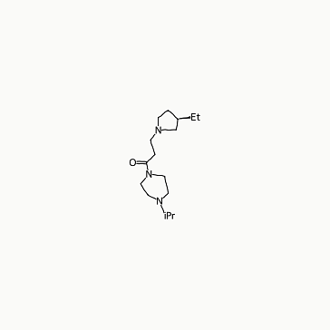 CC[C@@H]1CCN(CCC(=O)N2CCN(C(C)C)CC2)C1